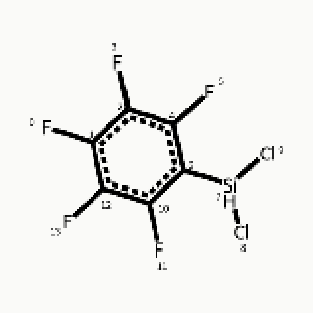 Fc1c(F)c(F)c([SiH](Cl)Cl)c(F)c1F